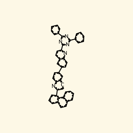 c1ccc(-c2nc(-c3ccccc3)nc(-c3ccc4cc(-c5ccc6nc(-c7cccc8ccc9ccccc9c78)ccc6c5)ccc4n3)n2)cc1